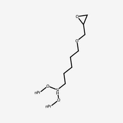 CCCO[SiH](CCCCCOCC1CO1)OCCC